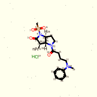 CCC[C@H]1C(=O)N(S(C)(=O)=O)[C@H]2CCN(C(=O)CCCN(C)c3ccccc3)[C@H]12.Cl